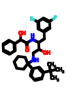 CC(C)(C)c1cccc(C2(NCC(O)C(Cc3cc(F)cc(F)c3)NC(=O)C(O)c3ccccc3)CCCCC2)c1